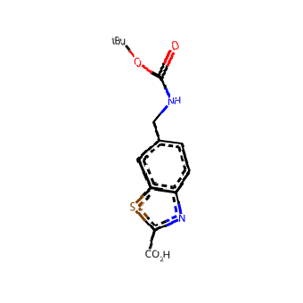 CC(C)(C)OC(=O)NCc1ccc2nc(C(=O)O)sc2c1